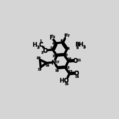 B.COc1c(F)c(F)cc2c(=O)c(C(=O)O)cn(C3CC3)c12